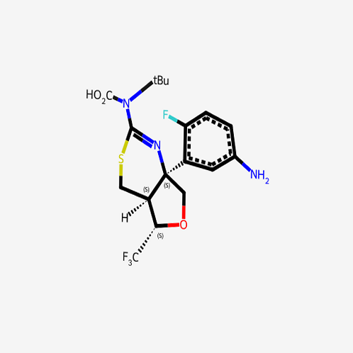 CC(C)(C)N(C(=O)O)C1=N[C@@]2(c3cc(N)ccc3F)CO[C@H](C(F)(F)F)[C@H]2CS1